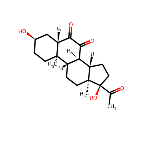 CC(=O)[C@@]1(O)CC[C@H]2[C@@H]3C(=O)C(=O)[C@H]4C[C@H](O)CC[C@]4(C)[C@H]3CC[C@@]21C